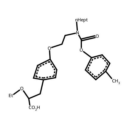 CCCCCCCN(CCOc1ccc(CC(OCC)C(=O)O)cc1)C(=O)Oc1ccc(C)cc1